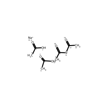 CC(=O)O.CC(=O)O.CC(=O)[N-]C(C)=O.[Na+]